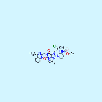 CC(Cl)=CCn1c(N2CCCC(NC(=O)OC(C)C)C2)nc2c1c(=O)n(Cc1nc(C)c3ccccc3n1)c(=O)n2C